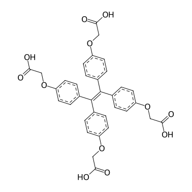 O=C(O)COc1ccc(C(=C(c2ccc(OCC(=O)O)cc2)c2ccc(OCC(=O)O)cc2)c2ccc(OCC(=O)O)cc2)cc1